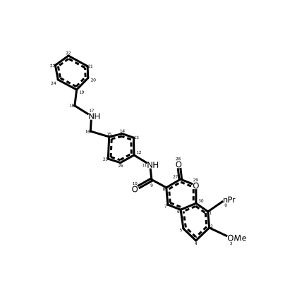 CCCc1c(OC)ccc2cc(C(=O)Nc3ccc(CNCc4ccccc4)cc3)c(=O)oc12